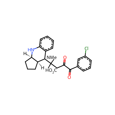 CNC(CC(=O)C(=O)c1cccc(Cl)c1)(C(=O)O)C1c2ccccc2N[C@@H]2CCC[C@H]12